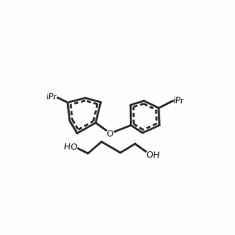 CC(C)c1ccc(Oc2ccc(C(C)C)cc2)cc1.OCCCCO